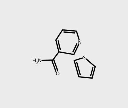 NC(=O)c1cccnc1.c1ccsc1